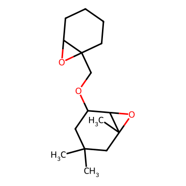 CC1(C)CC(OCC23CCCCC2O3)C2OC2(C)C1